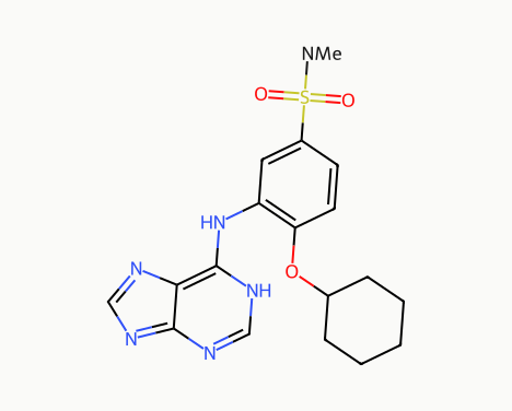 CNS(=O)(=O)c1ccc(OC2CCCCC2)c(Nc2[nH]cnc3ncnc2-3)c1